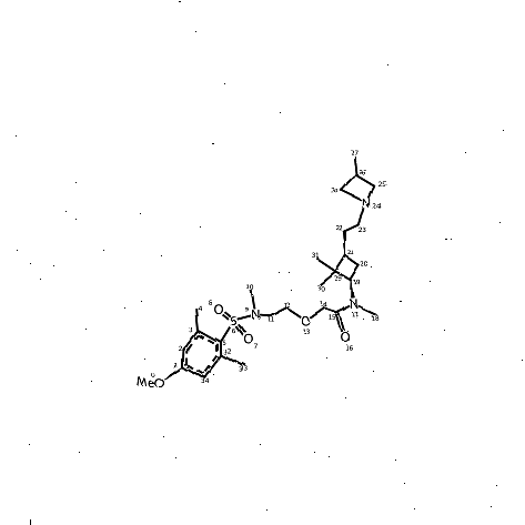 COc1cc(C)c(S(=O)(=O)N(C)CCOCC(=O)N(C)[C@@H]2C[C@H](CCN3CC(C)C3)C2(C)C)c(C)c1